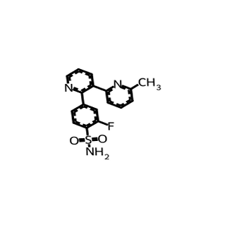 Cc1cccc(-c2cccnc2-c2ccc(S(N)(=O)=O)c(F)c2)n1